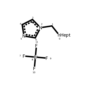 CCCCCCCCn1ccnc1.F[B-](F)(F)F